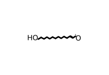 O=[C]C=CCCCCCCCCCCCO